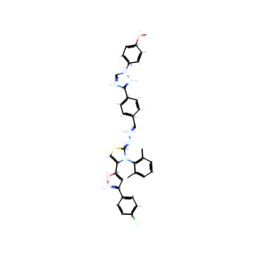 Cc1cccc(C)c1-n1c(-c2cc(-c3ccc(Cl)cc3)no2)cs/c1=N\N=C\c1ccc(-c2ncn(-c3ccc(OC(F)(F)F)cc3)n2)cc1